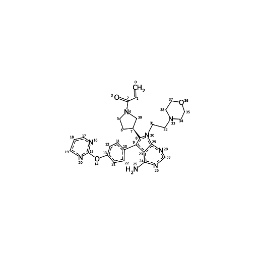 C=CC(=O)N1CC[C@H](c2c(-c3ccc(Oc4ncccn4)cc3)c3c(N)ncnc3n2CCN2CCOCC2)C1